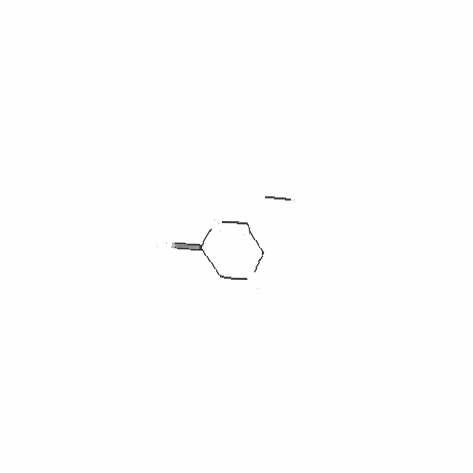 CC(C)C[C@@H]1CSCC(=N)N1